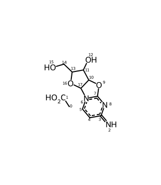 CC(=O)O.N=c1ccn2c(n1)OC1C(O)C(CO)OC12